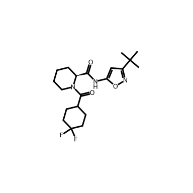 CC(C)(C)c1cc(NC(=O)[C@@H]2CCCCN2C(=O)C2CCC(F)(F)CC2)on1